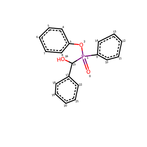 O=P(Oc1ccccc1)(c1ccccc1)C(O)c1ccccc1